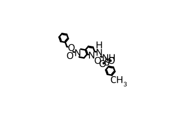 Cc1ccc(S(=O)(=O)NC(=O)Nc2ccc3c(n2)CCN(C(=O)OCc2ccccc2)C3)cc1